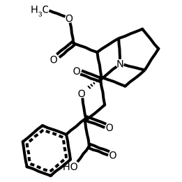 COC(=O)C1C2CCC(C[C@@H]1OC(=O)c1ccccc1)N2C(=O)CCC(=O)O